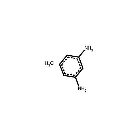 Nc1cccc(N)c1.O